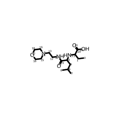 CCC(NC(CC(C)C)C(=O)NCCN1CCOCC1)C(=O)O